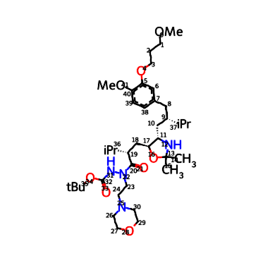 COCCCOc1cc(C[C@@H](C[C@@H]2NC(C)(C)O[C@H]2C[C@H](C(=O)N(CCN2CCOCC2)NC(=O)OC(C)(C)C)C(C)C)C(C)C)ccc1OC